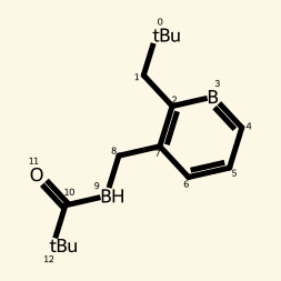 CC(C)(C)Cc1bcccc1CBC(=O)C(C)(C)C